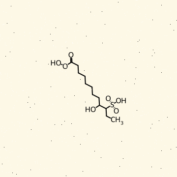 CCC(C(O)CCCCCCCC(=O)OO)S(=O)(=O)O